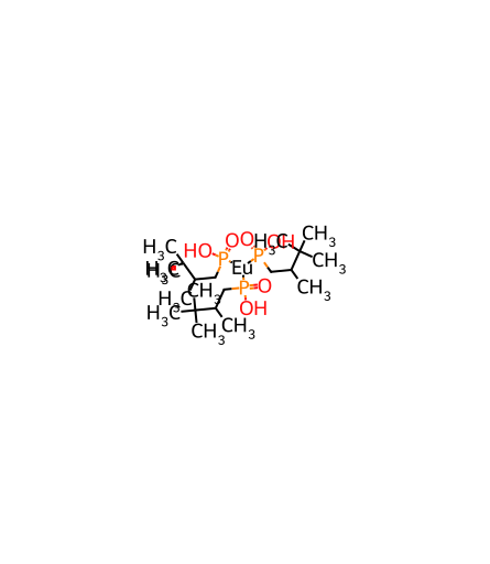 CC(C[P](=O)(O)[Eu]([P](=O)(O)CC(C)C(C)(C)C)[P](=O)(O)CC(C)C(C)(C)C)C(C)(C)C